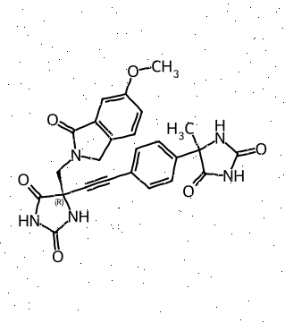 COc1ccc2c(c1)C(=O)N(C[C@@]1(C#Cc3ccc(C4(C)NC(=O)NC4=O)cc3)NC(=O)NC1=O)C2